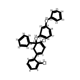 ClC1=CC=C(c2ccccc2Cl)CC1(Oc1cccc(Oc2ccccc2)c1)c1ccccc1